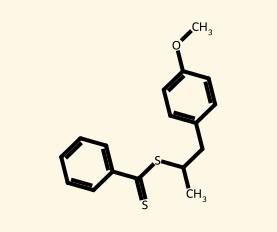 COc1ccc(CC(C)SC(=S)c2ccccc2)cc1